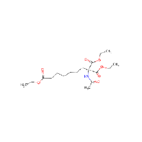 CCOC(=O)CCCCCCC(NC(C)=O)(C(=O)OCC)C(=O)OCC